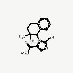 COC(=O)c1cnc(S)n1C1c2ccccc2CCC1(C)C